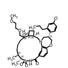 CCCc1cc(Cl)ccc1[C@@H]1COc2ccc3cc2N(C1)C[C@@H]1CC[C@H]1[C@@](O)(COCCOC)CCC[C@H](C)[C@@H](C)S(=O)(=O)NC3=O